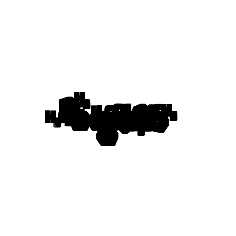 CC1(C)c2cc(-c3ccc4c(c3)C3(C)CCCCC3(C)S4)ccc2-c2c1c1ccc(-c3ccc4c(c3)C3(C)CCCCC3(C)S4)cc1c1ccccc21